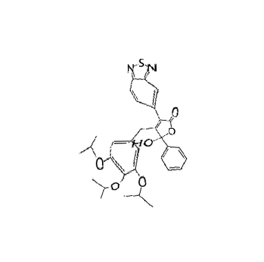 CC(C)Oc1cc(CC2=C(c3ccc4nsnc4c3)C(=O)OC2(O)c2ccccc2)cc(OC(C)C)c1OC(C)C